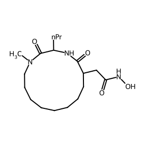 CCCC1NC(=O)C(CC(=O)NO)CCCCCCCCN(C)C1=O